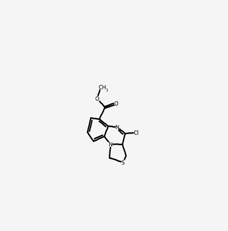 COC(=O)c1cccc2c1N=C(Cl)C1CSCN21